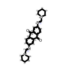 O=C1c2ccc(/N=C/N3CCCCC3)cc2C(=O)c2ccc(/N=C/N3CCCCC3)cc21